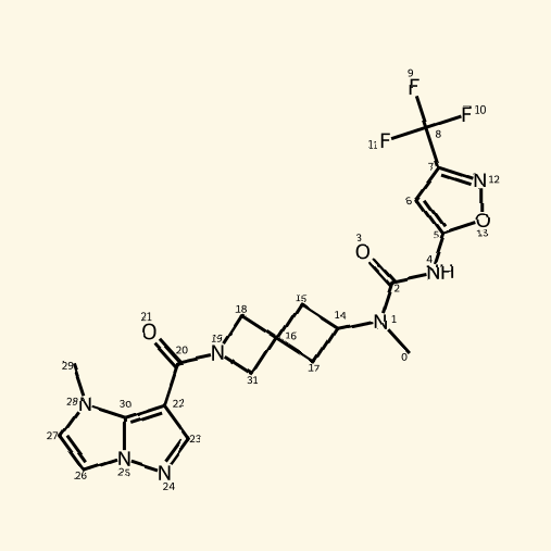 CN(C(=O)Nc1cc(C(F)(F)F)no1)C1CC2(C1)CN(C(=O)c1cnn3ccn(C)c13)C2